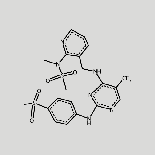 CN(c1ncccc1CNc1nc(Nc2ccc(S(C)(=O)=O)cc2)ncc1C(F)(F)F)S(C)(=O)=O